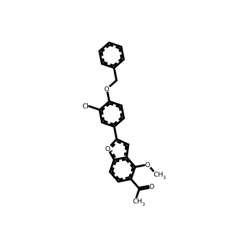 COc1c(C(C)=O)ccc2oc(-c3ccc(OCc4ccccc4)c(Cl)c3)cc12